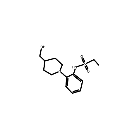 CCS(=O)(=O)Nc1ccccc1N1CCC(CO)CC1